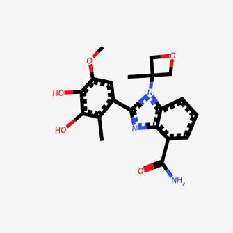 COc1cc(-c2nc3c(C(N)=O)cccc3n2C2(C)COC2)c(C)c(O)c1O